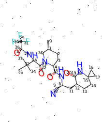 C[C@H]1CC[C@@H](C(=O)N[C@H](C#N)C[C@@H]2CCC3(CC3)NC2=O)N(C(=O)[C@@H](NC(=O)C(F)(F)F)C(C)(C)C)C1